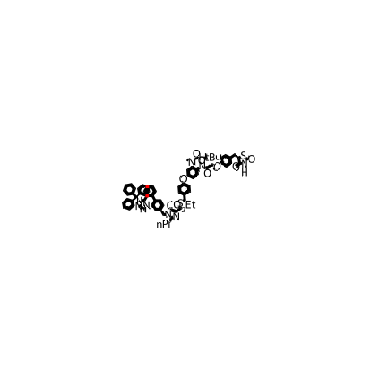 CCCc1nc(CSCc2ccc(Oc3ccc(NC(=O)COc4ccc(CC5SC(=O)NC5=O)cc4)c(N(C)C(=O)OC(C)(C)C)c3)cc2)c(C(=O)OCC)n1Cc1ccc(-c2ccccc2-c2nnnn2C(c2ccccc2)(c2ccccc2)c2ccccc2)cc1